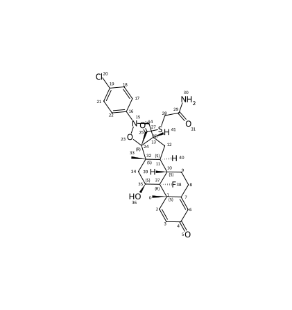 C[C@]12C=CC(=O)C=C1CC[C@H]1[C@@H]3C[C@H]4CN(c5ccc(Cl)cc5)O[C@@]4(C(=O)SCC(N)=O)[C@@]3(C)C[C@H](O)[C@@]12F